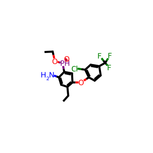 CCO[PH](=O)c1cc(Oc2ccc(C(F)(F)F)cc2Cl)c(CC)cc1N